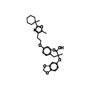 Cc1oc(C2(C)CCCCC2)nc1CCOc1ccc(CC(C)(Oc2ccc3c(c2)OCO3)C(=O)O)cc1